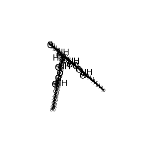 CCCCCCCCCCCCCCCC(=O)NCCOCCOCCC(=O)NCCCC[C@@H](CC(=O)NCCCCCCOC)NC(=O)CCCNC(=O)CCOCCOCCNC(=O)CCCCCCCCCCCCCCC